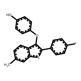 Cc1ccc2c(Oc3ccc(O)cc3)c(-c3ccc(F)cc3)sc2c1